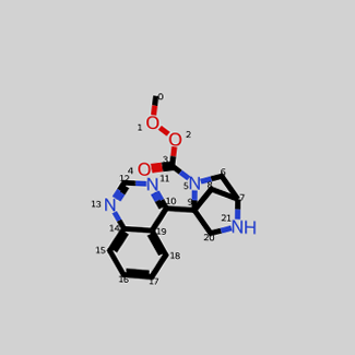 COOC(=O)N1CC2CC1(c1ncnc3ccccc13)CN2